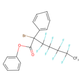 O=C(Oc1ccccc1)C(Br)(c1ccccc1)C(F)(F)C(F)(F)C(F)(F)C(F)(F)C(F)(F)F